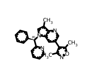 Cc1noc(C)c1-c1cnc2c(C)cn([C@H](c3ccccc3)c3ccccn3)c2c1